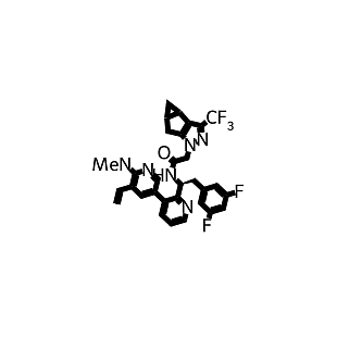 C=Cc1cc(-c2cccnc2[C@H](Cc2cc(F)cc(F)c2)NC(=O)Cn2nc(C(F)(F)F)c3c2CC2CC32)cnc1NC